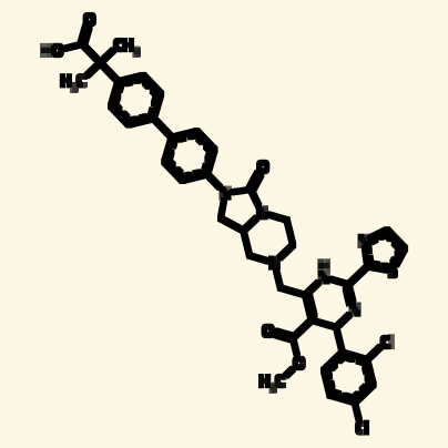 COC(=O)C1=C(CN2CCN3C(=O)N(c4ccc(-c5ccc(C(C)(C)C(=O)O)cc5)cc4)CC3C2)NC(c2nccs2)=NC1c1ccc(Cl)cc1Cl